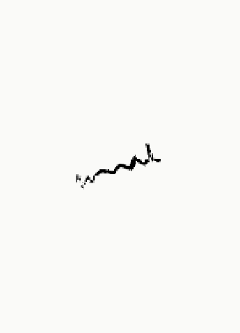 CN(C)CC=CCCCN